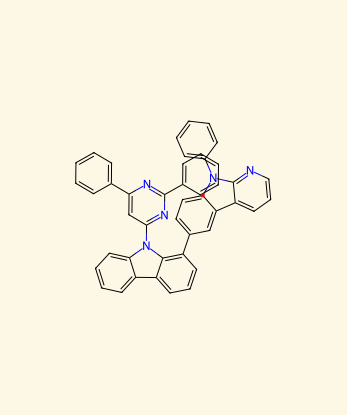 c1ccc(-c2cc(-n3c4ccccc4c4cccc(-c5ccc6c(c5)c5cccnc5n6-c5ccccc5)c43)nc(-c3ccccc3)n2)cc1